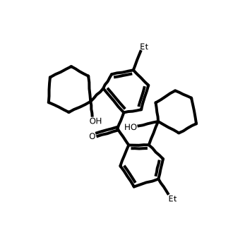 CCc1ccc(C(=O)c2ccc(CC)cc2C2(O)CCCCC2)c(C2(O)CCCCC2)c1